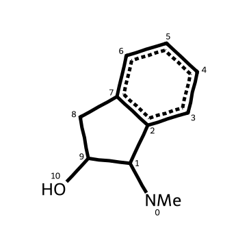 CNC1c2ccccc2CC1O